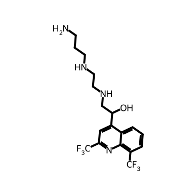 NCCCNCCNCC(O)c1cc(C(F)(F)F)nc2c(C(F)(F)F)cccc12